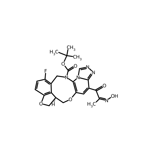 C/C(=N/O)C(=O)c1cc2c(n3cnnc13)N(C(=O)OC(C)(C)C)Cc1c(F)ccc3c1[C@H](CO3)CO2